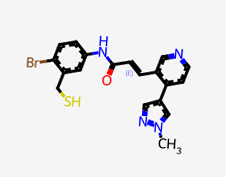 Cn1cc(-c2ccncc2/C=C/C(=O)Nc2ccc(Br)c(CS)c2)cn1